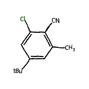 Cc1cc(C(C)(C)C)cc(Cl)c1C#N